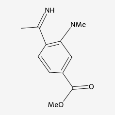 CNc1cc(C(=O)OC)ccc1C(C)=N